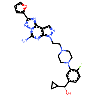 Nc1nc2c(cnn2CCN2CCN(c3cc([C@H](O)C4CC4)ccc3F)CC2)c2nc(-c3ccco3)nn12